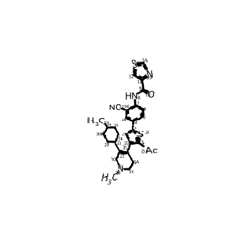 CC(=O)c1sc(-c2ccc(NC(=O)c3cscn3)c(C#N)c2)cc1C1=C(C2CCC(C)CC2)CN(C)CC1